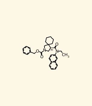 CCN(C(=O)[C@H]1CN(C(=O)OCc2ccccc2)CC12CCCCC2)c1ccc2ccccc2c1